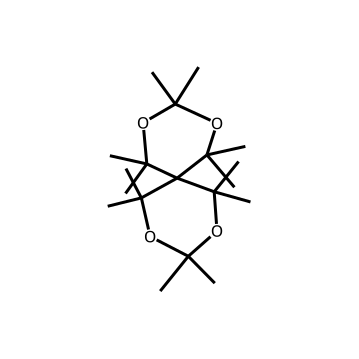 CC1(C)OC(C)(C)C2(C(C)(C)O1)C(C)(C)OC(C)(C)OC2(C)C